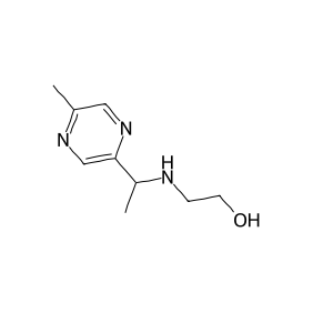 Cc1cnc(C(C)NCCO)cn1